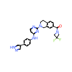 O=C(c1ccc2c(c1)CN(c1nccc(Nc3ccc(-c4cn[nH]c4)cc3)n1)CC2)N1CC(F)(F)C1